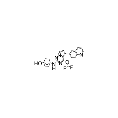 OC12CCC(Nc3nc(OC(F)F)c4c(-c5ccc6ncccc6c5)ccn4n3)(CC1)C2